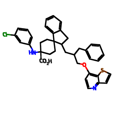 O=C(O)C1(Nc2cccc(Cl)c2)CCC2(CC1)c1ccccc1CC2CC(COc1ccnc2ccsc12)Cc1ccccc1